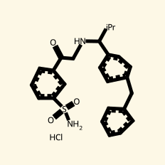 CC(C)C(NCC(=O)c1cccc(S(N)(=O)=O)c1)c1ccc(Cc2ccccc2)cc1.Cl